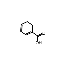 O=C(O)C1=CC=CC[C]1